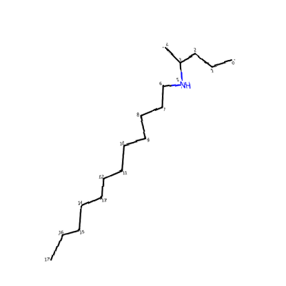 [CH2]CCC([CH2])NCCCCCCCCCCCC